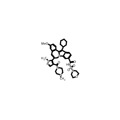 COc1ccc2c(c1)C=C(c1c(C(=O)N3CCN(C)CC3)cnn1C)Cn1c-2c(C2CCCCC2)c2ccc(C(=O)NS(=O)(=O)N3CCOCC3)cc21